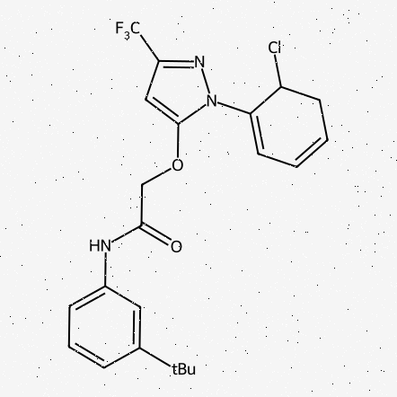 CC(C)(C)c1cccc(NC(=O)COc2cc(C(F)(F)F)nn2C2=CC=CCC2Cl)c1